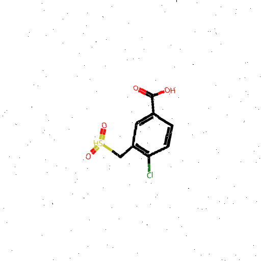 O=C(O)c1ccc(Cl)c(C[SH](=O)=O)c1